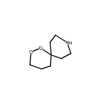 [CH]1CCOOC12CCNCC2